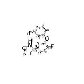 Fc1cccc(Oc2cc([C@H]3CCON3)ccc2F)c1